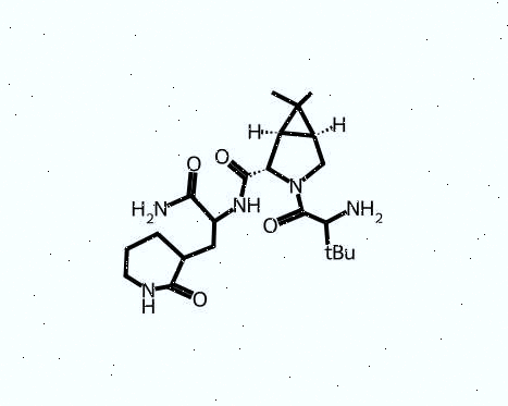 CC(C)(C)C(N)C(=O)N1C[C@H]2[C@@H]([C@H]1C(=O)NC(CC1CCCNC1=O)C(N)=O)C2(C)C